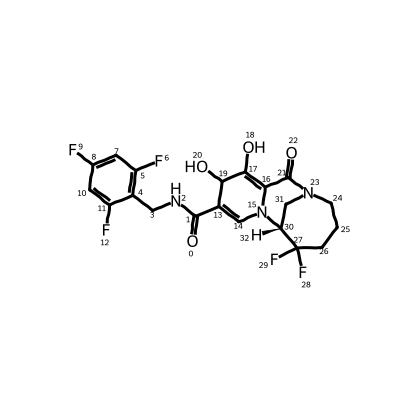 O=C(NCc1c(F)cc(F)cc1F)C1=CN2C(=C(O)C1O)C(=O)N1CCCC(F)(F)[C@H]2C1